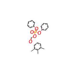 Cc1cccc(C)c1C.O=COP(=O)(Oc1ccccc1)Oc1ccccc1